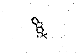 CCC(C)(C)c1ccc2c(c1)sc1ccccc12